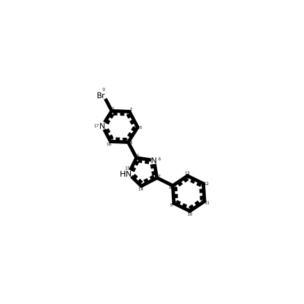 Brc1ccc(-c2nc(-c3ccccc3)c[nH]2)cn1